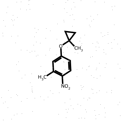 Cc1cc(OC2(C)CC2)ccc1[N+](=O)[O-]